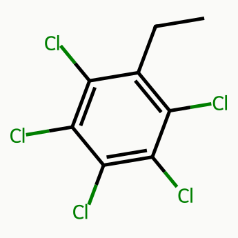 CCc1c(Cl)c(Cl)c(Cl)c(Cl)c1Cl